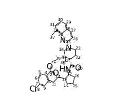 COC(=O)c1ccc(Cl)cc1CC[C@@H]1CCC[C@@H]1NC(=O)[C@H]1CCN(c2ccc3cccc(C)c3n2)CC1(C)C